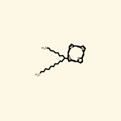 CCCCCCCCCCCC(CCCCCCCC)C1=CC2=CC3=NC(=CC4=NC(=CC5=NC(=CC1=N2)C=C5)C=C4)C=C3